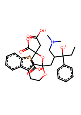 CCC(O)(c1ccccc1)C(CN(C)C)CC1(OC(CC(=O)O)(CC(=O)O)C(=O)O)OCCc2c1sc1ccccc21